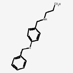 O=C(O)CCNCc1ccc(OCc2ccccc2)cc1